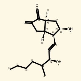 C=C1C[C@H]2[C@H](C=C[C@@H](O)C(C)CCCC)[C@H](O)C[C@@H]2C1=O